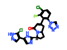 O=C1C=C(c2c(-n3cnnn3)ccc(Cl)c2F)CC2CC[C@@H](c3ncc(-c4cn[nH]c4Cl)[nH]3)N12